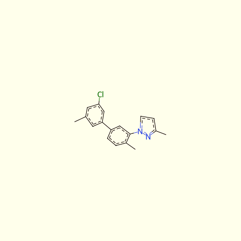 Cc1cc(Cl)cc(-c2ccc(C)c(-n3ccc(C)n3)c2)c1